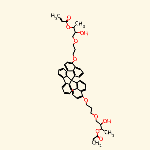 C=CC(=O)OC(C)C(O)COCCCOc1cccc2c(C3(c4cccc5c(OCCCOCC(O)C(C)OC(=O)C=C)cccc45)c4ccccc4-c4ccccc43)cccc12